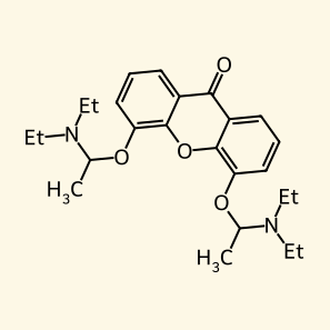 CCN(CC)C(C)Oc1cccc2c(=O)c3cccc(OC(C)N(CC)CC)c3oc12